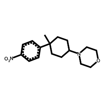 CC1(c2ccc([N+](=O)[O-])cc2)CCC(N2CCOCC2)CC1